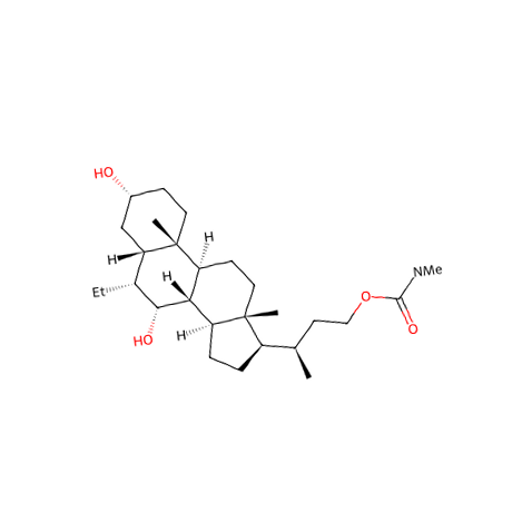 CC[C@H]1[C@@H](O)[C@@H]2[C@H](CC[C@]3(C)[C@@H]([C@H](C)CCOC(=O)NC)CC[C@@H]23)[C@@]2(C)CC[C@@H](O)C[C@@H]12